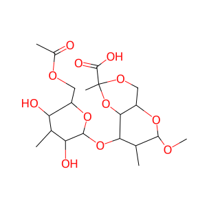 COC1OC2COC(C)(C(=O)O)OC2C(OC2OC(COC(C)=O)C(O)C(C)C2O)C1C